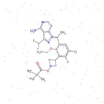 CCOc1c(C(C)n2nc(C(F)F)c3c(N)ncnc32)cc(Cl)c(F)c1C1CN(OC(=O)C(C)(C)C)C1